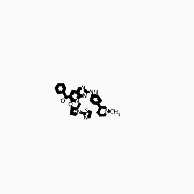 CN1CCCC(c2ccc(Nc3ncc4cc(C(=O)c5ccccc5)c(=O)n(Cc5cccn5-c5nccs5)c4n3)cc2)C1